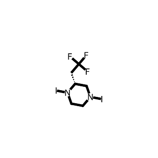 FC(F)(F)C[C@@H]1CN(I)CCN1I